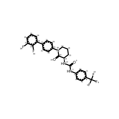 O=C(Nc1ccc(C(F)(F)F)cc1)N[C@@H]1CCCN(c2ccc(-c3cccc(F)c3F)cc2)C1=O